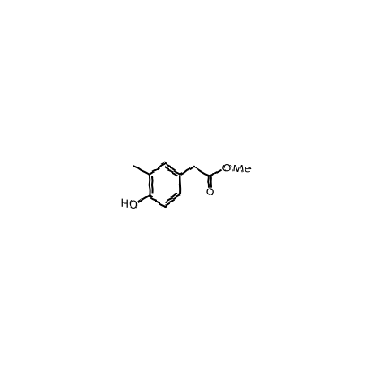 COC(=O)Cc1ccc(O)c(C)c1